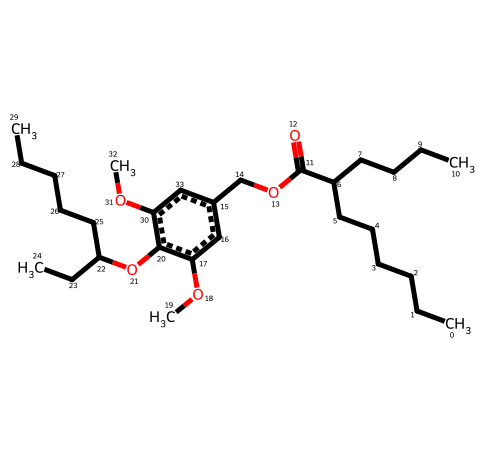 CCCCCCC(CCCC)C(=O)OCc1cc(OC)c(OC(CC)CCCCC)c(OC)c1